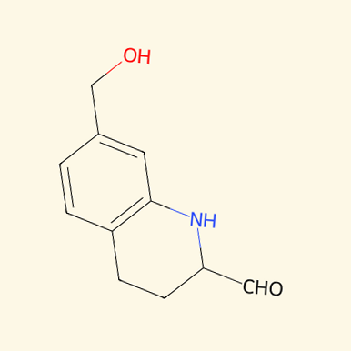 O=CC1CCc2ccc(CO)cc2N1